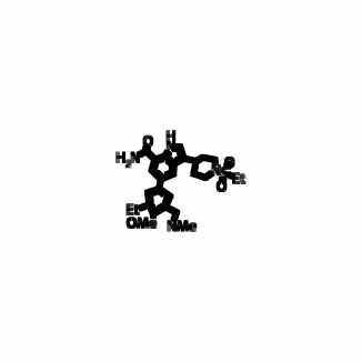 CCc1cc(-c2cc(C(N)=O)c3[nH]cc(C4CCN(S(=O)(=O)CC)CC4)c3c2)cc(CNC)c1OC